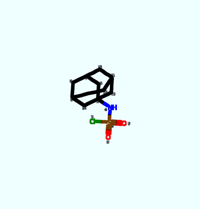 O=S(=O)(Cl)NC12CC3CC(CC(C3)C1)C2